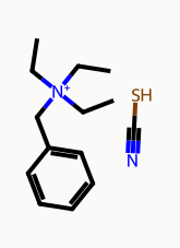 CC[N+](CC)(CC)Cc1ccccc1.N#CS